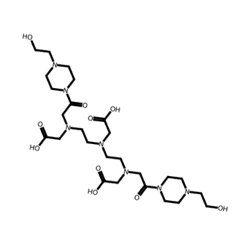 O=C(O)CN(CCN(CC(=O)O)CC(=O)N1CCN(CCO)CC1)CCN(CC(=O)O)CC(=O)N1CCN(CCO)CC1